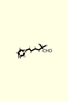 CC(C)(C=O)CCCCn1ccnc1